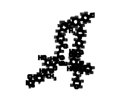 Cc1ncsc1-c1ccc([C@H](C)NC(=O)[C@@H]2C[C@@H](O)CN2C(=O)[C@@H](NC(=O)CCCC(=O)N2CCN(CC3CCN(CC4(C)CCC(c5ccc(Cl)cc5)=C(CN5CCN(c6ccc(C(=O)NS(=O)(=O)c7ccc(N[C@H](CCN8CCOCC8)CSc8ccccc8)c(S(=O)(=O)C(F)(F)F)c7)cc6)CC5)C4)CC3)CC2)C(C)(C)C)cc1